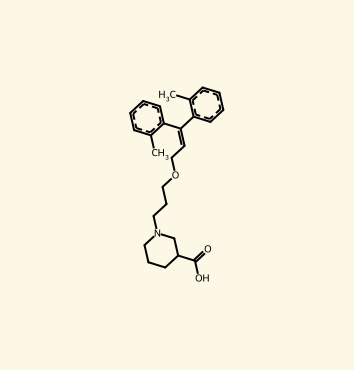 Cc1ccccc1C(=CCOCCCN1CCCC(C(=O)O)C1)c1ccccc1C